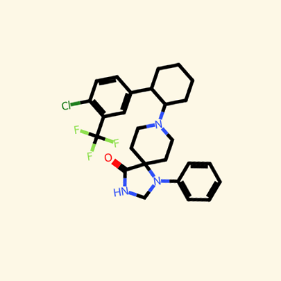 O=C1NCN(c2ccccc2)C12CCN(C1CCCCC1c1ccc(Cl)c(C(F)(F)F)c1)CC2